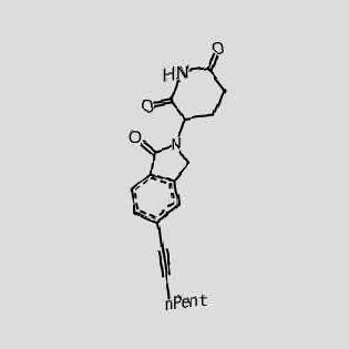 CCCCCC#Cc1ccc2c(c1)CN(C1CCC(=O)NC1=O)C2=O